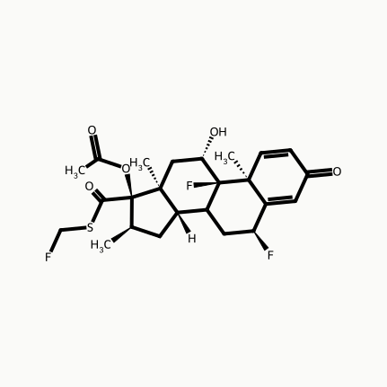 CC(=O)O[C@]1(C(=O)SCF)[C@H](C)C[C@H]2C3C[C@H](F)C4=CC(=O)C=C[C@]4(C)[C@@]3(F)[C@@H](O)C[C@@]21C